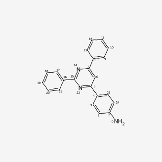 Nc1ccc(-c2cc(-c3ccccc3)nc(-c3ccccc3)n2)cc1